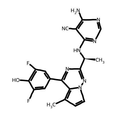 Cc1ccn2nc([C@H](C)Nc3ncnc(N)c3C#N)nc(-c3cc(F)c(O)c(F)c3)c12